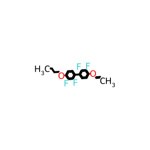 C/C=C/Oc1ccc(-c2ccc(OCCCC)c(F)c2F)c(F)c1F